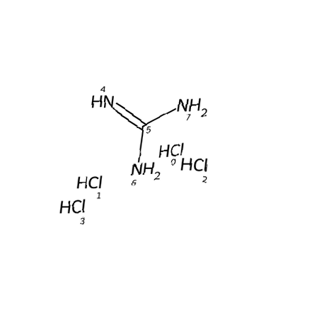 Cl.Cl.Cl.Cl.N=C(N)N